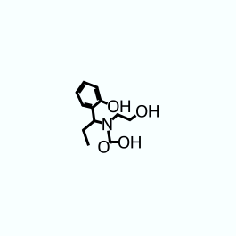 CCC(c1ccccc1O)N(CCO)C(=O)O